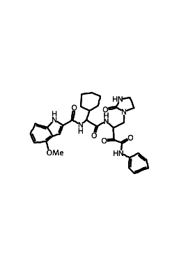 COc1cccc2[nH]c(C(=O)NC(C(=O)NC(CN3CCNC3=O)C(=O)C(=O)Nc3ccccc3)C3CCCCC3)cc12